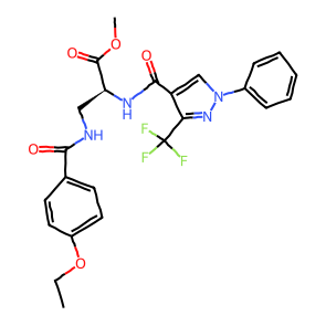 CCOc1ccc(C(=O)NC[C@H](NC(=O)c2cn(-c3ccccc3)nc2C(F)(F)F)C(=O)OC)cc1